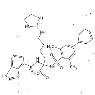 Cc1cc(-c2ccccc2)cc(C)c1S(=O)(=O)NC(CCCCNC1NCCN1)(NC(=O)c1cccc2[nH]ncc12)C(=O)O